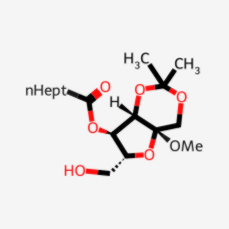 CCCCCCCC(=O)O[C@@H]1[C@@H](CO)O[C@@]2(OC)COC(C)(C)O[C@@H]12